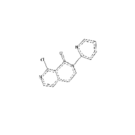 O=c1c2c(Cl)nccc2ccn1-c1ccccn1